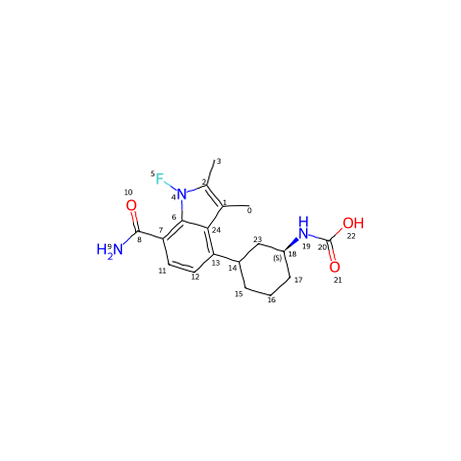 Cc1c(C)n(F)c2c(C(N)=O)ccc(C3CCC[C@H](NC(=O)O)C3)c12